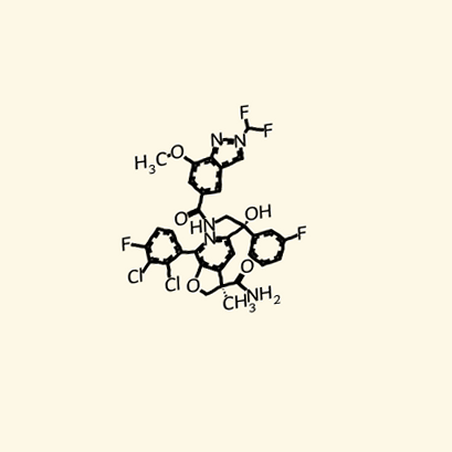 COc1cc(C(=O)NC[C@@](O)(c2cccc(F)c2)c2cc3c(c(-c4ccc(F)c(Cl)c4Cl)n2)OC[C@]3(C)C(N)=O)cc2cn(C(F)F)nc12